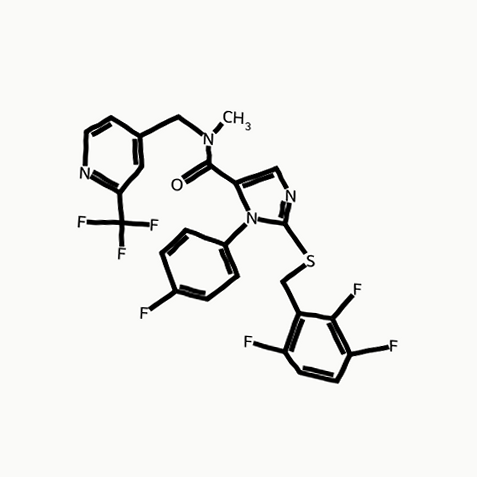 CN(Cc1ccnc(C(F)(F)F)c1)C(=O)c1cnc(SCc2c(F)ccc(F)c2F)n1-c1ccc(F)cc1